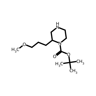 COCCCC1CNCCN1C(=O)OC(C)(C)C